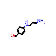 NC=CCNc1ccc(C=O)cc1